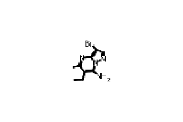 CCc1c(C)nc2c(Br)cnn2c1N